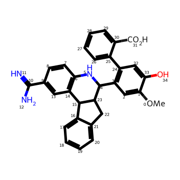 COc1cc(C2Nc3ccc(C(=N)N)cc3C3c4ccccc4CC23)c(-c2ccccc2C(=O)O)cc1O